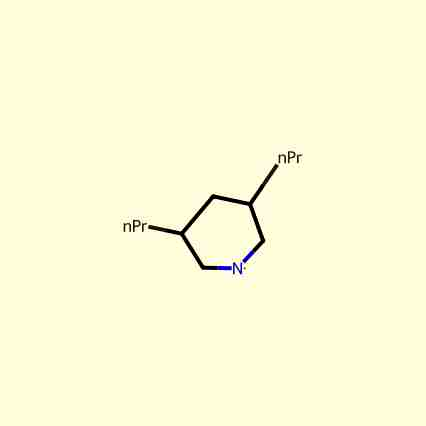 CCCC1C[N]CC(CCC)C1